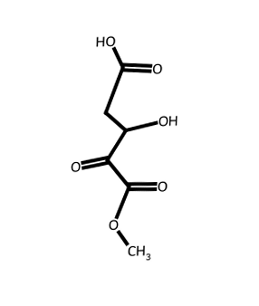 COC(=O)C(=O)C(O)CC(=O)O